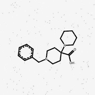 O=C(O)C1(N2CCCCC2)CCN(Cc2ccccc2)CC1